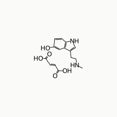 CNCCc1c[nH]c2ccc(O)cc12.O=C(O)C=CC(=O)O